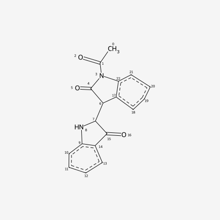 CC(=O)N1C(=O)C(C2Nc3ccccc3C2=O)c2ccccc21